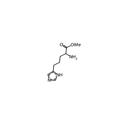 COC(=O)C(N)CCCc1cnc[nH]1